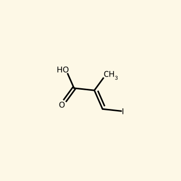 C/C(=C\I)C(=O)O